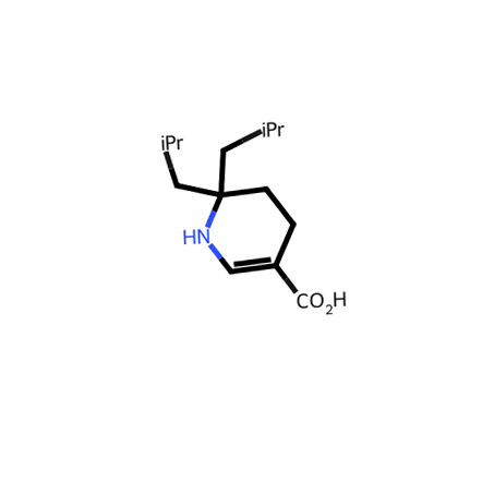 CC(C)CC1(CC(C)C)CCC(C(=O)O)=CN1